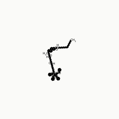 CCCCCCCC/C=C\CCCCCCCCNC(=O)O[C@@H]1CCC2C(CCC3C2CCC2C3CCC2[C@H](C)CCC(=O)NCCCCCC(=O)NCCOCCOCCO[C@H]2OC(COC(=O)c3ccccc3)[C@@H](OC(=O)c3ccccc3)C(OC(=O)c3ccccc3)C2OC(=O)c2ccccc2)C1